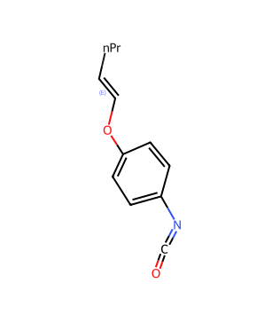 CCC/C=C/Oc1ccc(N=C=O)cc1